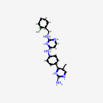 Cc1cnc(N)nc1-c1ccc(Nc2ccnc(NCc3ccccc3F)n2)cc1